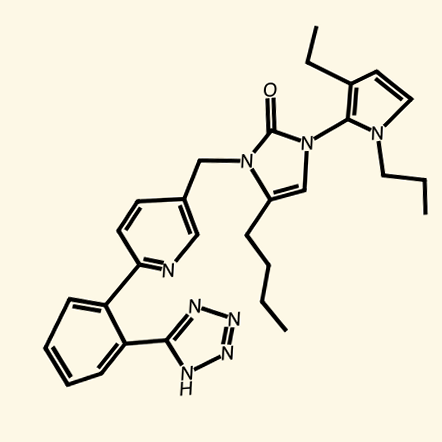 CCCCc1cn(-c2c(CC)ccn2CCC)c(=O)n1Cc1ccc(-c2ccccc2-c2nnn[nH]2)nc1